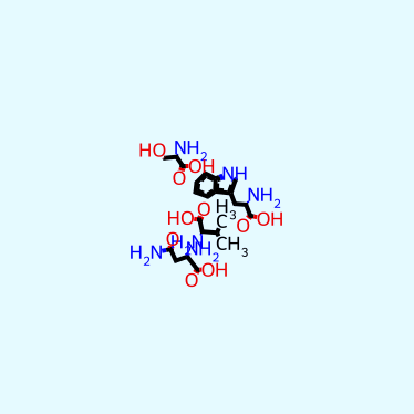 CC(C)[C@H](N)C(=O)O.NC(=O)C[C@H](N)C(=O)O.N[C@@H](CO)C(=O)O.N[C@@H](Cc1c[nH]c2ccccc12)C(=O)O